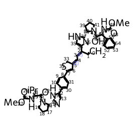 C=C/C(=C\C=C1\C=C(c2ccc(-c3cnc([C@@H]4CCCN4C(=O)[C@@H](NC(=O)OC)C(C)C)[nH]3)cc2)SC1)c1c[nH]c([C@@H]2CCCN2C(O)[C@H](NC(=O)OC)c2ccccc2)n1